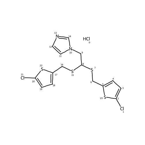 Cl.Clc1ccc(CSC(Cn2ccnc2)SCc2ccc(Cl)s2)s1